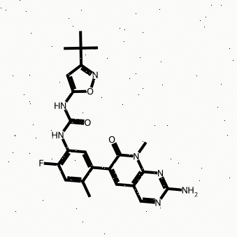 Cc1cc(F)c(NC(=O)Nc2cc(C(C)(C)C)no2)cc1-c1cc2cnc(N)nc2n(C)c1=O